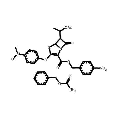 CC(=O)OC(C)C1C(=O)N2C(C(=O)OCc3ccc([N+](=O)[O-])cc3)=C(Oc3ccc([S+](C)[O-])cc3)SC12.NC(=O)OCc1ccccc1